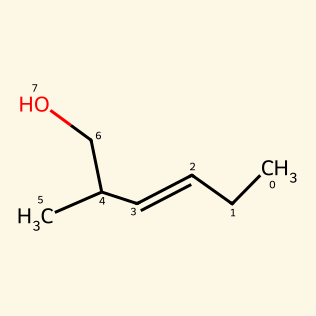 CCC=CC(C)CO